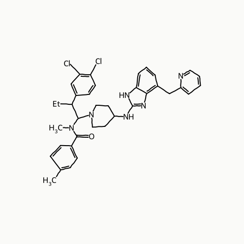 CCC(c1ccc(Cl)c(Cl)c1)C(N1CCC(Nc2nc3c(Cc4ccccn4)cccc3[nH]2)CC1)N(C)C(=O)c1ccc(C)cc1